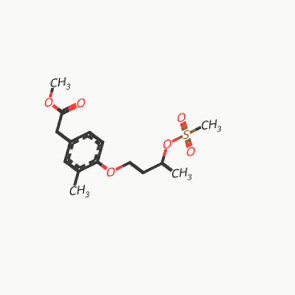 COC(=O)Cc1ccc(OCCC(C)OS(C)(=O)=O)c(C)c1